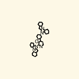 c1ccc2c(c1)cc1n(-c3ccc4oc5c(-n6c7ccccc7n7c8ccccc8cc67)nccc5c4c3)c3ccccc3n21